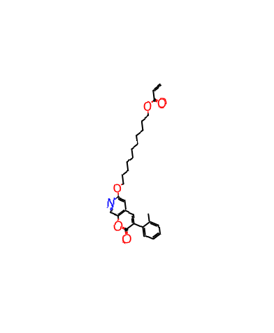 C=CC(=O)OCCCCCCCCCCCOc1cc2cc(-c3ccccc3C)c(=O)oc2cn1